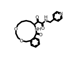 O=C(NCc1ccncc1)C(=O)C1CCCCOCCOCc2ccccc2C(=O)N1